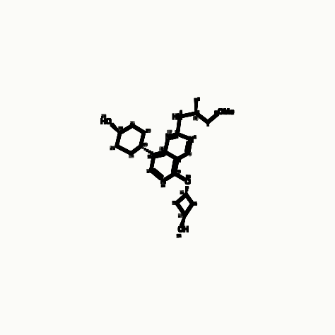 COC[C@H](C)Nc1ncc2c(O[C@H]3C[C@H](O)C3)ncc([C@H]3CC[C@H](O)CC3)c2n1